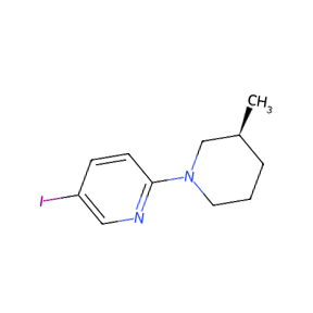 C[C@H]1CCCN(c2ccc(I)cn2)C1